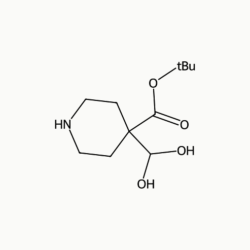 CC(C)(C)OC(=O)C1(C(O)O)CCNCC1